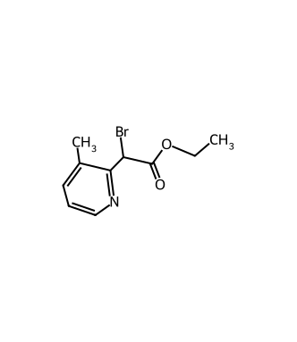 CCOC(=O)C(Br)c1ncccc1C